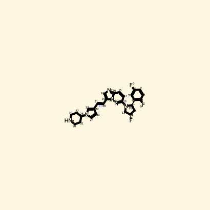 Fc1ccc(F)c([C@H]2C[C@H](F)CN2c2ccc3ncc(/C=C/c4ccn(C5CCNCC5)c4)n3n2)c1